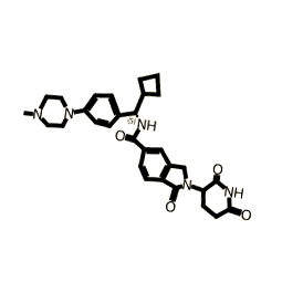 CN1CCN(c2ccc([C@@H](NC(=O)c3ccc4c(c3)CN(C3CCC(=O)NC3=O)C4=O)C3CCC3)cc2)CC1